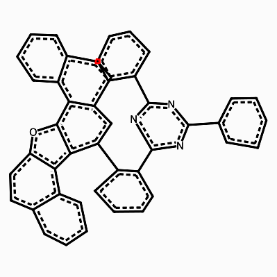 c1ccc(-c2nc(-c3ccccc3)nc(-c3ccccc3-c3cc4ccc5ccccc5c4c4oc5ccc6ccccc6c5c34)n2)cc1